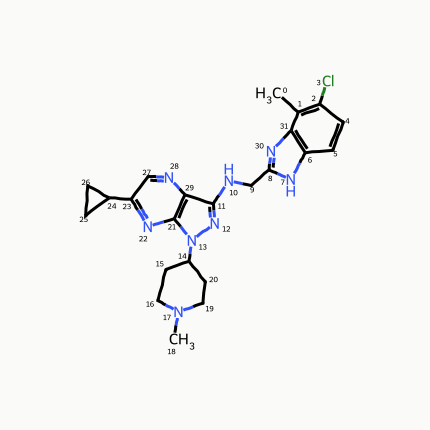 Cc1c(Cl)ccc2[nH]c(CNc3nn(C4CCN(C)CC4)c4nc(C5CC5)cnc34)nc12